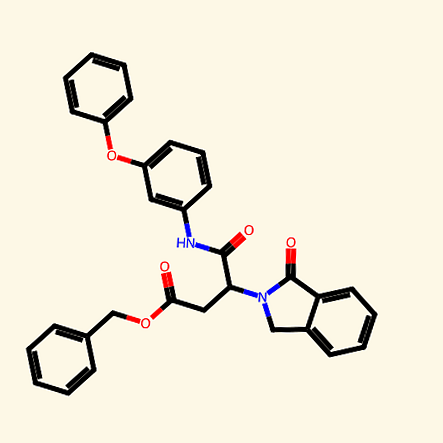 O=C(CC(C(=O)Nc1cccc(Oc2ccccc2)c1)N1Cc2ccccc2C1=O)OCc1ccccc1